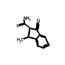 CC1c2ccccc2C(=O)C1C(N)=S